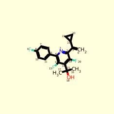 C=C(c1nc(-c2ccc(F)cc2)c(F)c(C(C)(C)O)c1F)C1CC1